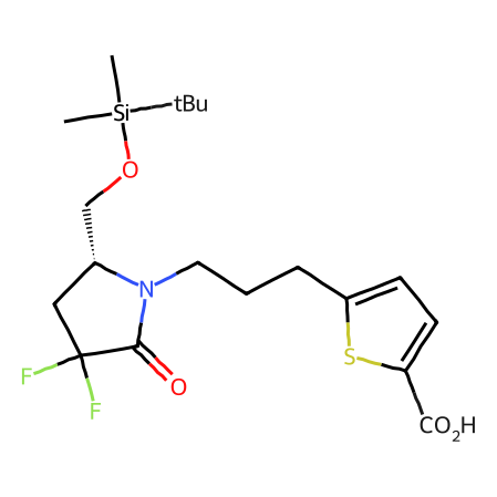 CC(C)(C)[Si](C)(C)OC[C@H]1CC(F)(F)C(=O)N1CCCc1ccc(C(=O)O)s1